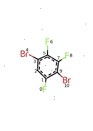 Fc1cc(Br)c(F)c(F)c1Br